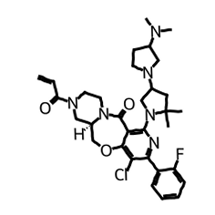 C=CC(=O)N1CCN2C(=O)c3c(N4CC(N5CCC(N(C)C)C5)CC4(C)C)nc(-c4ccccc4F)c(Cl)c3OC[C@H]2C1